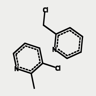 Cc1ncccc1Cl.ClCc1ccccn1